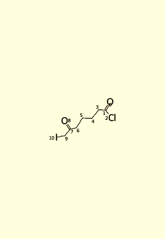 O=C(Cl)CCCCC(=O)CI